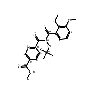 CCc1c(OC)cccc1C(=O)N(NC(C)(C)C)C(=O)c1ccc(C(=O)OC)cn1